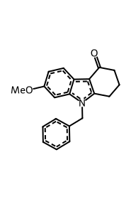 COc1ccc2c3c(n(Cc4ccccc4)c2c1)CCCC3=O